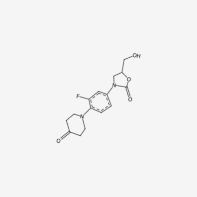 O=C1CCN(c2ccc(N3CC(CO)OC3=O)cc2F)CC1